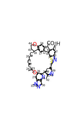 Cc1cc2nc3sc2c(c1CC(=O)O)-c1ccc2c(c1)C(CCCC[C@H](C)Oc1cc4c(cnn4C)nc1-c1cc-3cnc1C)CCO2